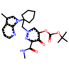 CNC(=O)c1nn(CC2(n3cc(C)c4cccnc43)CCCCC2)cc(OC(=O)OC(C)(C)C)c1=O